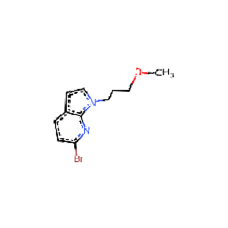 COCCCn1ccc2ccc(Br)nc21